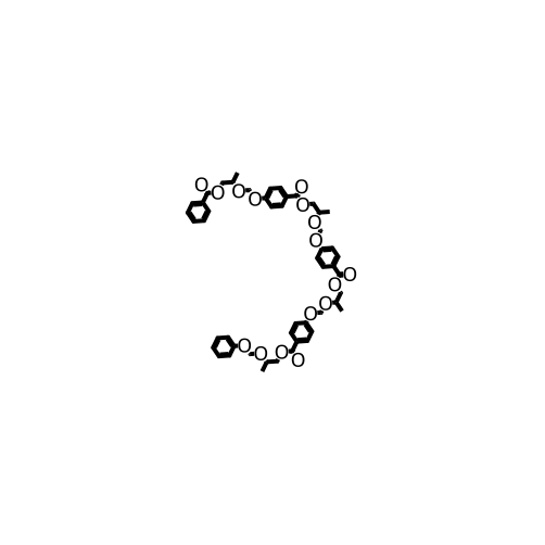 CC(COC(=O)c1ccccc1)OCOc1ccc(C(=O)OCC(C)OCOc2ccc(C(=O)OCC(C)OCOc3ccc(C(=O)OCC(C)OCOc4ccccc4)cc3)cc2)cc1